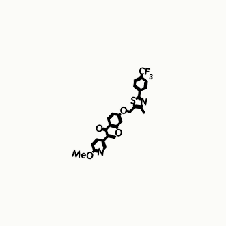 COc1ccc(-c2coc3cc(OCc4sc(-c5ccc(C(F)(F)F)cc5)nc4C)ccc3c2=O)cn1